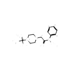 CN(C(=O)CN1CCN(C(C)(C)C)CC1)c1ccccc1